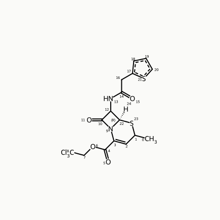 CC1C=C(C(=O)OCC(Cl)(Cl)Cl)N2C(=O)C(NC(=O)Cc3cccs3)[C@H]2S1